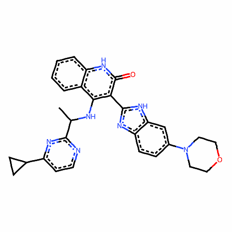 CC(Nc1c(-c2nc3ccc(N4CCOCC4)cc3[nH]2)c(=O)[nH]c2ccccc12)c1nccc(C2CC2)n1